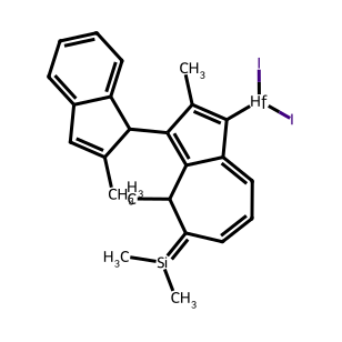 CC1=Cc2ccccc2C1C1=C2C(=CC=CC(=[Si](C)C)C2C)[C]([Hf]([I])[I])=C1C